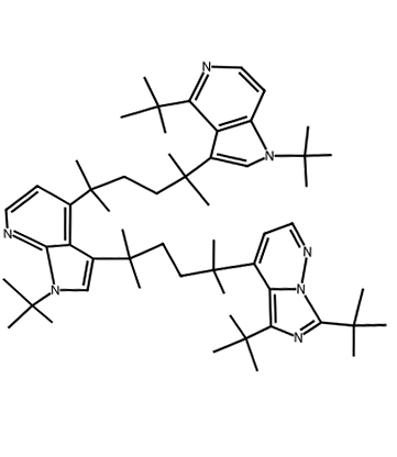 CC(C)(C)c1nccc2c1c(C(C)(C)CCC(C)(C)c1ccnc3c1c(C(C)(C)CCC(C)(C)c1ccnn4c(C(C)(C)C)nc(C(C)(C)C)c14)cn3C(C)(C)C)cn2C(C)(C)C